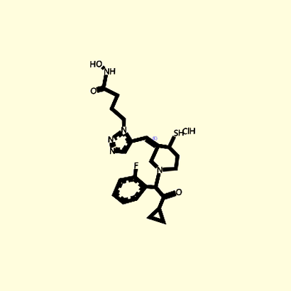 Cl.O=C(CCCn1nncc1/C=C1\CN(C(C(=O)C2CC2)c2ccccc2F)CCC1S)NO